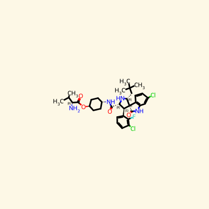 CC(C)[C@@H](N)C(=O)O[C@H]1CC[C@H](NC(=O)[C@@H]2N[C@H](CC(C)(C)C)[C@]3(C(=O)Nc4cc(Cl)ccc43)[C@H]2c2cccc(Cl)c2F)CC1